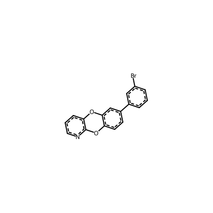 Brc1cccc(-c2ccc3c(c2)Oc2cccnc2O3)c1